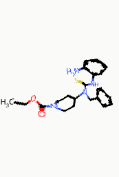 CCOC(=O)N1CCC(N(Cc2ccccc2)C(=S)Nc2ccccc2N)CC1